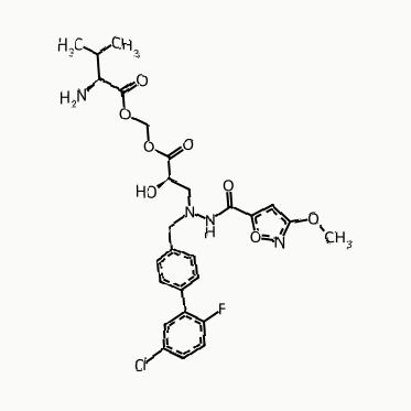 COc1cc(C(=O)NN(Cc2ccc(-c3cc(Cl)ccc3F)cc2)C[C@@H](O)C(=O)OCOC(=O)[C@@H](N)C(C)C)on1